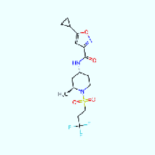 C[C@H]1C[C@H](NC(=O)c2cc(C3CC3)on2)CCN1S(=O)(=O)CCC(F)(F)F